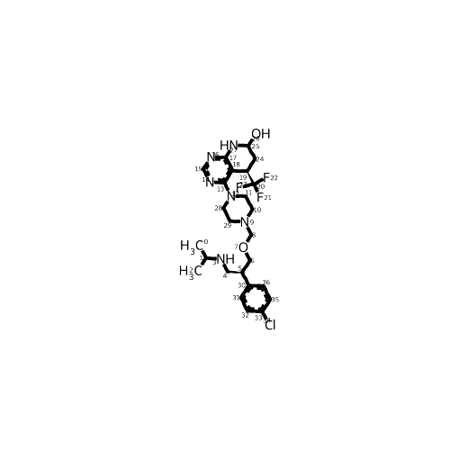 CC(C)NC[C@@H](COCN1CCN(c2ncnc3c2[C@H](C(F)(F)F)CC(O)N3)CC1)c1ccc(Cl)cc1